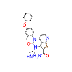 Cc1cc(Oc2ccccc2)ccc1N1C(=O)N(C2CNC2)c2c(C(N)=O)sc3nccc1c23